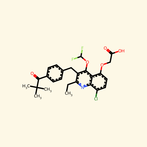 CCc1nc2c(Cl)ccc(OCC(=O)O)c2c(OC(F)F)c1Cc1ccc(C(=O)C(C)(C)C)cc1